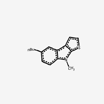 CCCCc1ccc2c(c1)c1ccsc1n2C